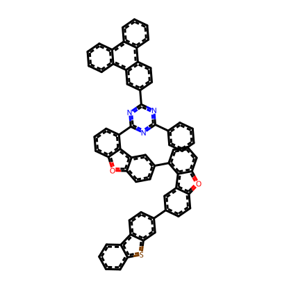 c1ccc(-c2nc(-c3ccc4c5ccccc5c5ccccc5c4c3)nc(-c3cccc4oc5ccc(-c6cccc7oc8ccc(-c9ccc%10c(c9)sc9ccccc9%10)cc8c67)cc5c34)n2)cc1